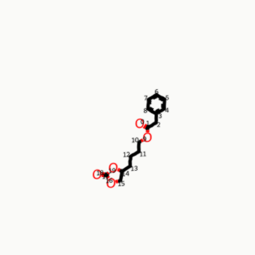 O=C(Cc1ccccc1)OCCCCC1COC(=O)O1